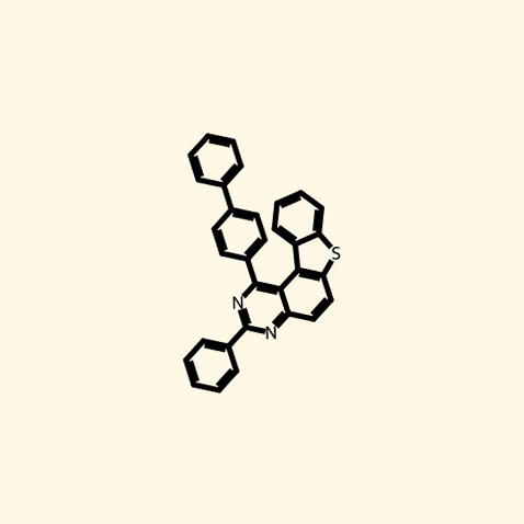 c1ccc(-c2ccc(-c3nc(-c4ccccc4)nc4ccc5sc6ccccc6c5c34)cc2)cc1